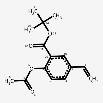 C=Cc1ccc(OC(C)=O)c(C(=O)OC(C)(C)C)c1